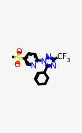 CS(=O)(=O)c1ccc(-n2nc(C(F)(F)F)nc2C2C=CCCC2)nc1